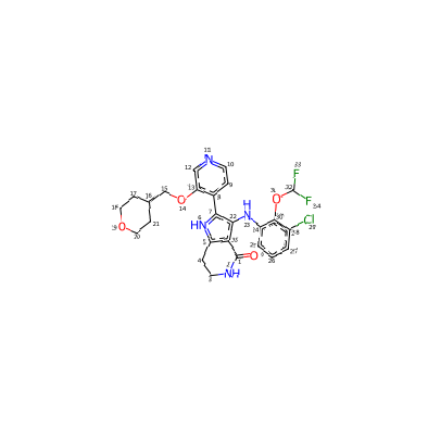 O=C1NCCc2[nH]c(-c3ccncc3OCC3CCOCC3)c(Nc3cccc(Cl)c3OC(F)F)c21